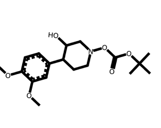 COc1ccc(C2CCN(OC(=O)OC(C)(C)C)CC2O)cc1OC